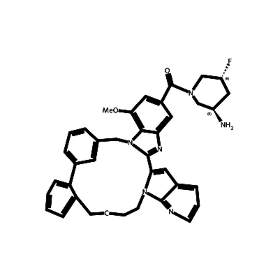 COc1cc(C(=O)N2C[C@H](N)C[C@@H](F)C2)cc2nc3n(c12)Cc1cccc(c1)-c1ccccc1CCCCn1c-3cc2cccnc21